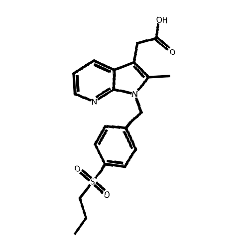 CCCS(=O)(=O)c1ccc(Cn2c(C)c(CC(=O)O)c3cccnc32)cc1